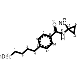 CCCCCCCCCCCCCCc1ccc(C(=O)NC2(C#N)CC2)cc1